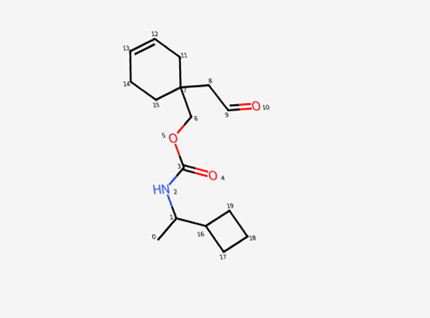 CC(NC(=O)OCC1(CC=O)CC=CCC1)C1CCC1